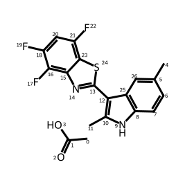 CC(=O)O.Cc1ccc2[nH]c(C)c(-c3nc4c(F)c(F)cc(F)c4s3)c2c1